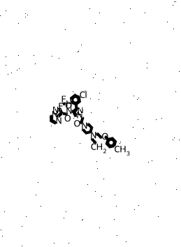 C=CCN(CCOc1ccc(C)cc1)C1CCN(C(=O)Cn2cc(NC(=O)c3cnn4cccnc34)c(-c3cc(Cl)ccc3OC(F)F)n2)CC1